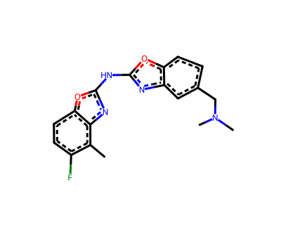 Cc1c(F)ccc2oc(Nc3nc4cc(CN(C)C)ccc4o3)nc12